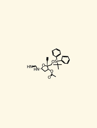 C#C[C@]1(CO[Si](c2ccccc2)(c2ccccc2)C(C)(C)C)O[C@@H](NC=N)C[C@@H]1OC(C)=O